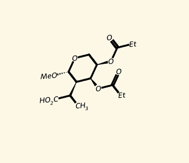 CCC(=O)O[C@H]1[C@@H](C(C)C(=O)O)[C@H](OC)OC[C@H]1OC(=O)CC